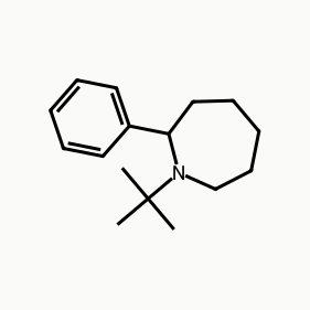 CC(C)(C)N1CCCCCC1c1ccccc1